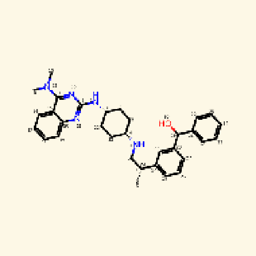 C[C@H](CN[C@H]1CC[C@@H](Nc2nc(N(C)C)c3ccccc3n2)CC1)c1cccc(C(O)c2ccccc2)c1